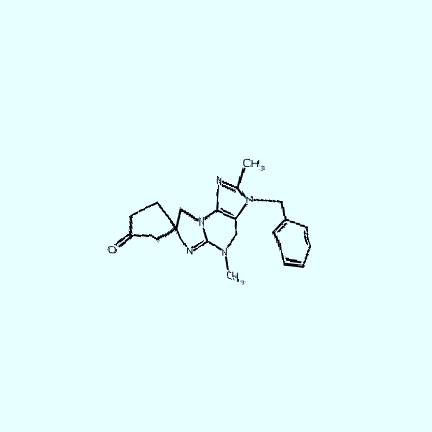 Cc1nc2c(n1Cc1ccccc1)CN(C)C1=NC3([CH]C(=O)CC3)CN12